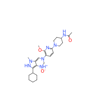 COc1nc(N2CCC(NC(C)=O)CC2)ccc1N1C=C2C(=C(C3CCCCC3)NN2C)[NH+]([O-])C1